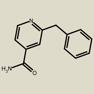 NC(=O)c1ccnc(Cc2ccccc2)c1